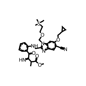 COC(=O)C(C)C(=N)C(=O)c1ccccc1NCc1nc2cc(C#N)c(OCC3CC3)cc2n1COCCS(C)(C)C